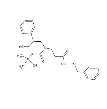 CC(C)(C)OC(=O)N(CCC(=O)NOCc1ccccc1)C[C@@H](CO)c1ccccc1